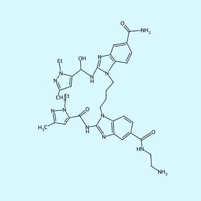 CCn1nc(C)cc1C(=O)Nc1nc2cc(C(=O)NCCN)ccc2n1CCCCn1c(NC(O)c2cc(C)nn2CC)nc2cc(C(N)=O)ccc21